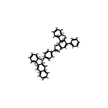 c1ccc(-c2cc3nc(-c4ccc(-n5c6ccccc6c6cc7ccccc7cc65)cc4)sc3c3c2sc2ccccc23)cc1